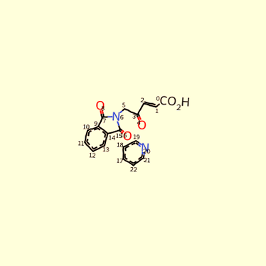 O=C(O)/C=C/C(=O)CN1C(=O)c2ccccc2C1=O.c1ccncc1